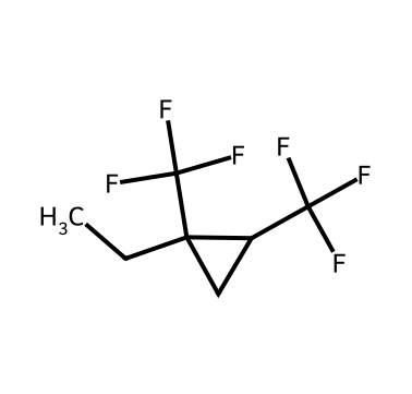 CCC1(C(F)(F)F)CC1C(F)(F)F